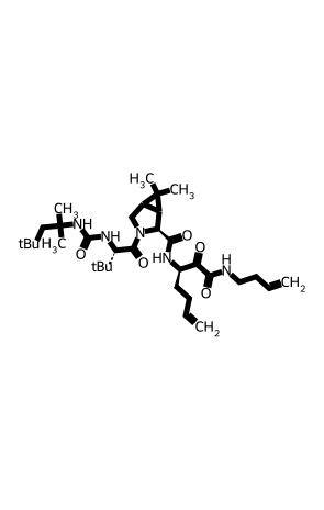 C=CCCNC(=O)C(=O)[C@@H](CCC=C)NC(=O)[C@@H]1C2C(CN1C(=O)[C@@H](NC(=O)NC(C)(C)CC(C)(C)C)C(C)(C)C)C2(C)C